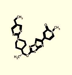 CCc1cnc(N2CCC([C@@H](C)Oc3nn4cc(-c5ccn(C)c(=O)c5)nc4s3)CC2)nc1